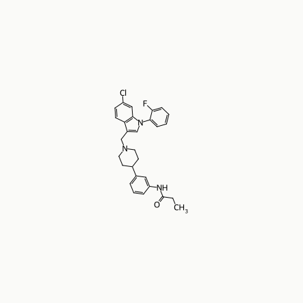 CCC(=O)Nc1cccc(C2CCN(Cc3cn(-c4ccccc4F)c4cc(Cl)ccc34)CC2)c1